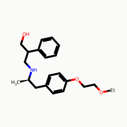 CCOCCOc1ccc(C[C@@H](C)NCC(CO)c2ccccc2)cc1